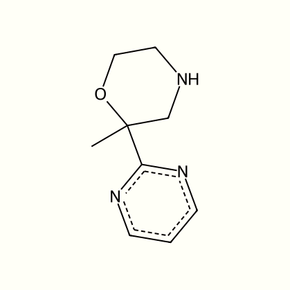 CC1(c2ncccn2)CNCCO1